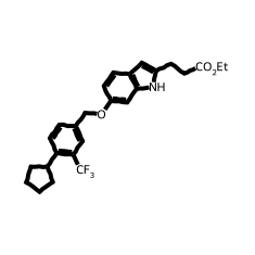 CCOC(=O)CCc1cc2ccc(OCc3ccc(C4CCCC4)c(C(F)(F)F)c3)cc2[nH]1